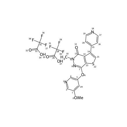 COc1cncc(Oc2nn(C)c(=O)c3c(-c4ccncc4)csc23)c1.O=C(O)C(F)(F)F.O=C(O)C(F)(F)F